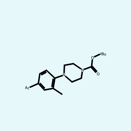 CC(=O)c1ccc(N2CCN(C(=O)OC(C)(C)C)CC2)c(C)c1